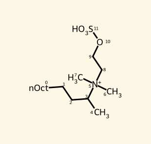 CCCCCCCCCCC(C)[N+](C)(C)CCOS(=O)(=O)O